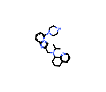 CC(C)N(Cc1cn2c(N3CCNCC3)cccc2n1)C1CCCc2cccnc21